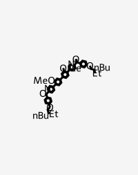 CCCCC(CC)COc1ccc(C(=O)c2ccc(-c3ccc(-c4ccc(-c5ccc(C(=O)c6ccc(OCC(CC)CCCC)cc6)nc5)c(OC)c4)cc3OC)cn2)cc1